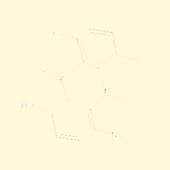 Nc1ccc(O)c2c1C(=O)c1c(O)ccc(O)c1C2=O